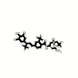 CCC[C@H](CS(=O)(=O)CC(F)(F)F)NC(=O)c1ccc(/C=C/C(c2cc(Cl)c(Cl)c(Cl)c2)C(F)(F)F)cc1C(F)(F)F